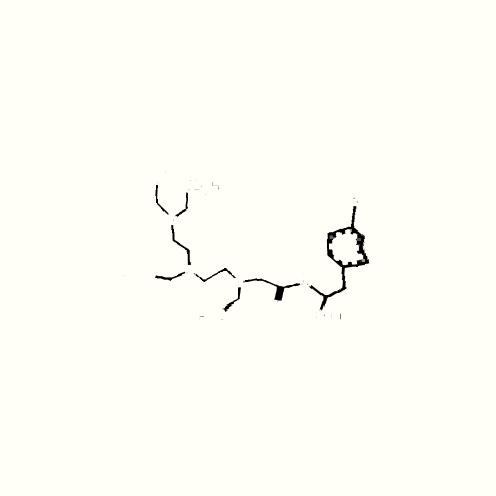 O=C(O)CN(CCN(CC(=O)O)CC(=O)O)CCN(CC(=O)O)CC(=O)NC(Cc1ccc([N+](=O)[O-])cc1)C(=O)O